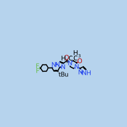 CC(C)(C)c1cc(C2CCC(F)(F)CC2)nn2cc(C(=O)N3CCN(c4cc[nH]n4)C(=O)C3(C)C)nc12